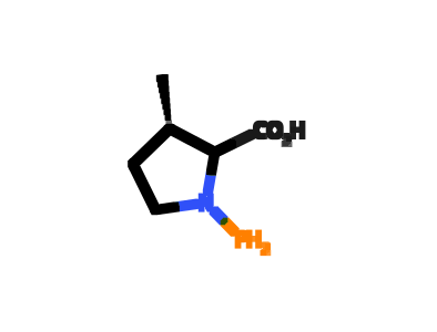 C[C@H]1CCN(P)C1C(=O)O